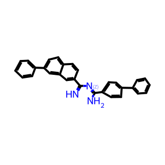 N=C(/N=C(\N)c1ccc(-c2ccccc2)cc1)c1ccc2ccc(-c3ccccc3)cc2c1